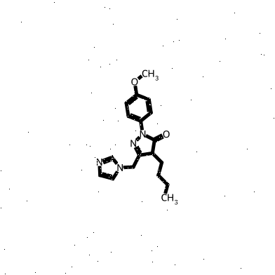 CCCCC1C(=O)N(c2ccc(OC)cc2)N=C1Cn1ccnc1